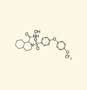 O=C(NO)C1C2CCCCC2CCN1S(=O)(=O)c1ccc(Oc2ccc(OC(F)(F)F)cc2)cc1